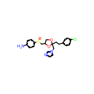 Nc1ccc([S+]([O-])CC2COC(CCc3ccc(Cl)cc3)(Cn3ccnc3)O2)cc1